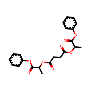 CC(OC(=O)CCC(=O)OC(C)C(=O)Oc1ccccc1)C(=O)Oc1ccccc1